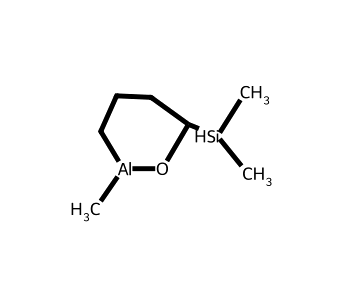 [CH3][Al]1[CH2]CCC([SiH](C)C)[O]1